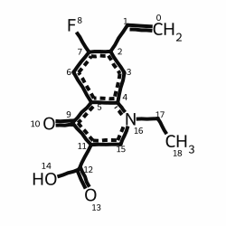 C=Cc1cc2c(cc1F)c(=O)c(C(=O)O)cn2CC